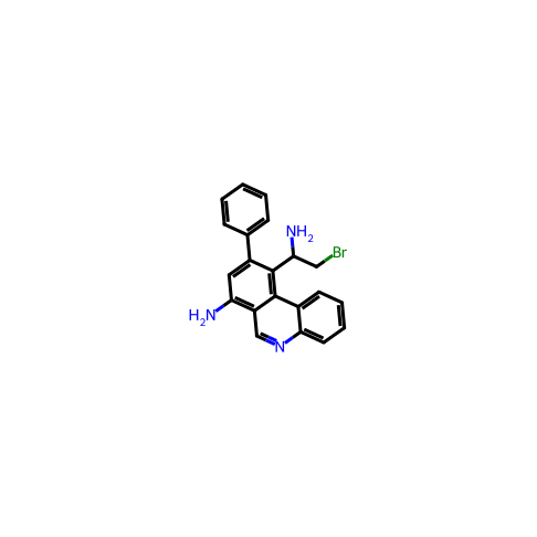 Nc1cc(-c2ccccc2)c(C(N)CBr)c2c1cnc1ccccc12